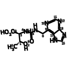 C[C@@H](O)[C@H](NC(=O)NCc1ncnc2nc[nH]c12)C(=O)O